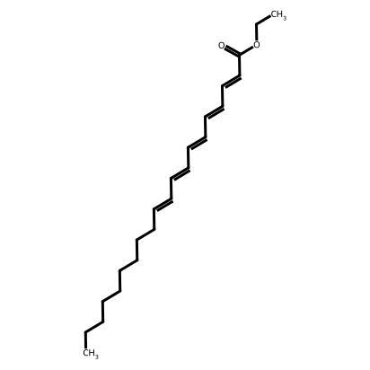 CCCCCCCCCC=CC=CC=CC=CC=CC(=O)OCC